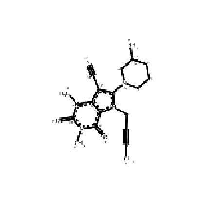 CC#CCn1c(N2CCC[C@H](N)C2)c(C#N)c2c1c(=O)n(C)c(=O)n2C